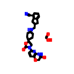 N#Cc1cccc2c1CC(CNC1CCC(C3CN(c4ccc5c(n4)NC(=O)CO5)C(=O)O3)CC1)C2.O=CO